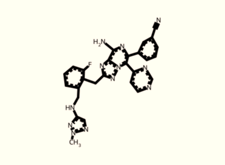 Cn1ncc(NCc2cccc(F)c2Cc2nc3c(N)nc(-c4cccc(C#N)c4)c(-c4ccncn4)n3n2)n1